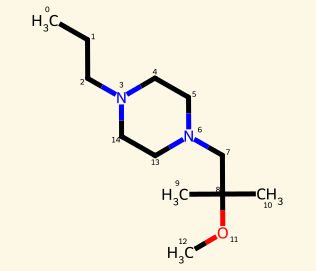 CCCN1CCN(CC(C)(C)OC)CC1